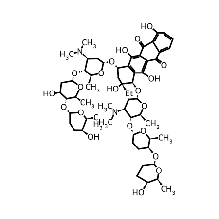 CC[C@@]1(O)C[C@H](O[C@H]2C[C@H](N(C)C)[C@@H](O[C@H]3C[C@H](O)[C@@H](O[C@H]4CC[C@H](O)[C@H](C)O4)[C@H](C)O3)[C@H](C)O2)c2c(O)c3c(c(O)c2[C@H]1O[C@H]1C[C@H](N(C)C)[C@@H](O[C@H]2CC[C@H](O[C@H]4CC[C@H](O)[C@H](C)O4)[C@H](C)O2)[C@H](C)O1)C(=O)c1cccc(O)c1C3=O